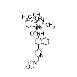 Cc1ncc(C2(C(C)(C)C)C=CC=CC2NC(=O)Nc2ccc(-c3ccc(CN4CCOCC4)nc3)c3ccccc23)cn1